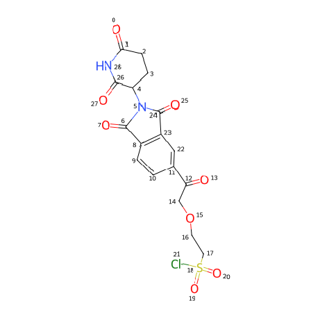 O=C1CCC(N2C(=O)c3ccc(C(=O)COCCS(=O)(=O)Cl)cc3C2=O)C(=O)N1